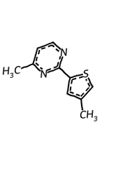 Cc1csc(-c2nccc(C)n2)c1